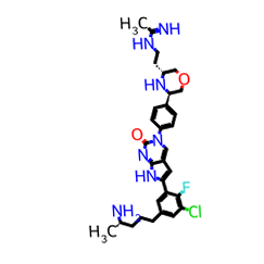 CC(=N)NCC[C@@H]1COC[C@@H](c2ccc(-n3cc4cc(-c5cc(CCC[C@H](C)N)cc(Cl)c5F)[nH]c4nc3=O)cc2)N1